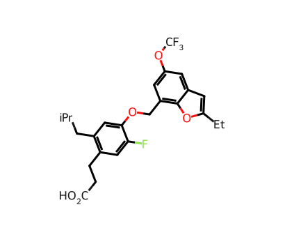 CCc1cc2cc(OC(F)(F)F)cc(COc3cc(CC(C)C)c(CCC(=O)O)cc3F)c2o1